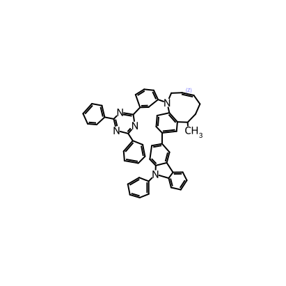 CC1CC/C=C\CN(c2cccc(-c3nc(-c4ccccc4)nc(-c4ccccc4)n3)c2)c2ccc(-c3ccc4c(c3)c3ccccc3n4-c3ccccc3)cc21